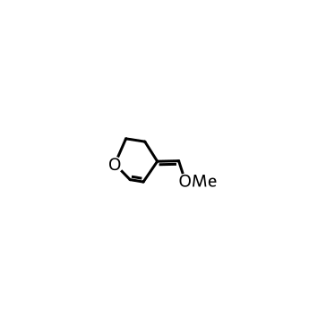 CO/C=C1\C=COCC1